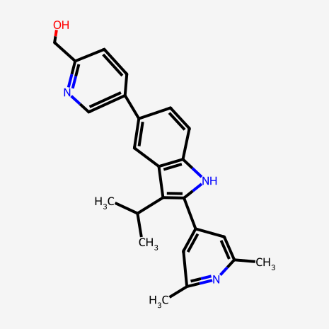 Cc1cc(-c2[nH]c3ccc(-c4ccc(CO)nc4)cc3c2C(C)C)cc(C)n1